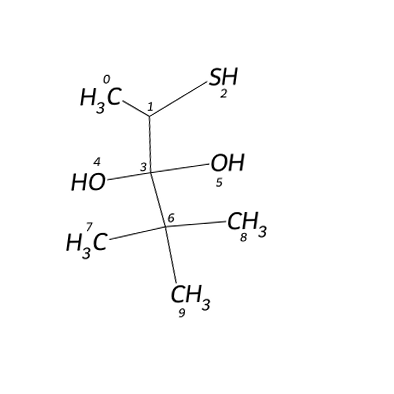 CC(S)C(O)(O)C(C)(C)C